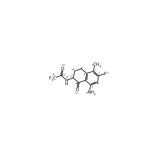 Cc1c(F)cc(N)c2c1CCC(NC(=O)C(F)(F)F)C2=O